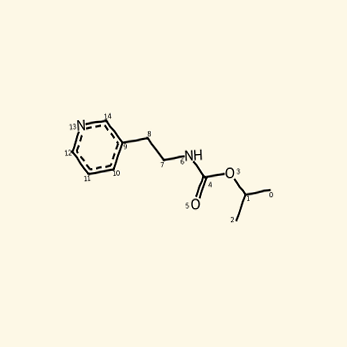 CC(C)OC(=O)NCCc1cccnc1